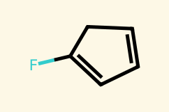 FC1=CC=CC1